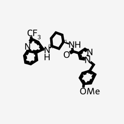 COc1ccc(Cn2cc(C(=O)N[C@@H]3CCC[C@H](Nc4cc(C(F)(F)F)nc5ccccc45)C3)cn2)cc1